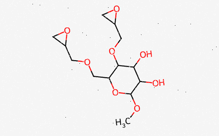 COC1OC(COCC2CO2)C(OCC2CO2)C(O)C1O